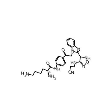 N#CCCNC1=NONC1c1nc2ccccc2n1CC(=O)c1ccc(NC(=O)[C@@H](N)CCCCN)cc1